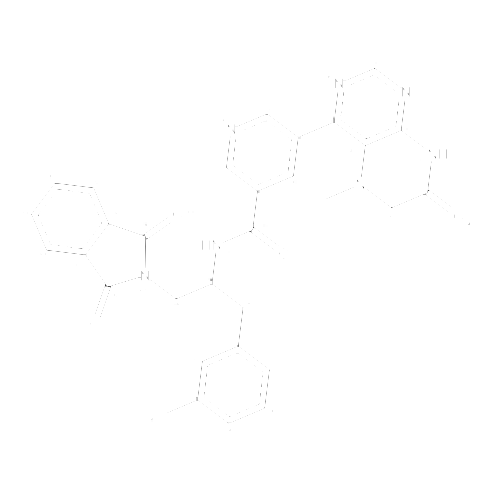 CN1CC(=O)Nc2ncnc(-c3cncc(C(=O)NC(Cc4cccc(F)c4)CN4C(=O)c5ccccc5C4=O)c3)c21